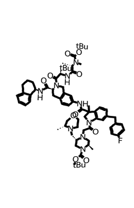 C[C@@H]1COCCN1C[C@H]1CN(C(=O)OC(C)(C)C)[C@H](C)CN1CC(=O)N1CC(C)(C(=O)Nc2ccc3c(c2)CN(C(=O)[C@@H](NC(=O)[C@H](C)N(C)C(=O)OC(C)(C)C)C(C)(C)C)[C@H](C(=O)N[C@@H]2CCCc4ccccc42)C3)c2ccc(Cc3ccc(F)cc3)cc21